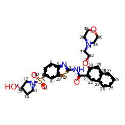 O=C(Nc1nc2ccc(S(=O)(=O)N3CC[C@H](O)C3)cc2s1)c1cc2ccccc2cc1OCCN1CCOCC1